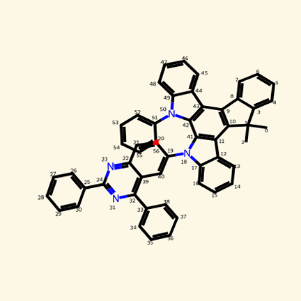 CC1(C)c2ccccc2-c2c1c1c3ccccc3n(-c3ccc4nc(-c5ccccc5)nc(-c5ccccc5)c4c3)c1c1c2c2ccccc2n1-c1ccccc1